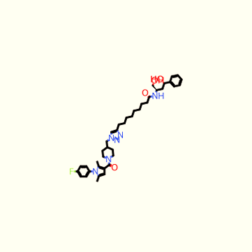 Cc1cc(C(=O)N2CCC(Cn3cc(CCCCCCCCC(=O)N[C@@H](CO)C[C@H](O)c4ccccc4)nn3)CC2)c(C)n1-c1ccc(F)cc1